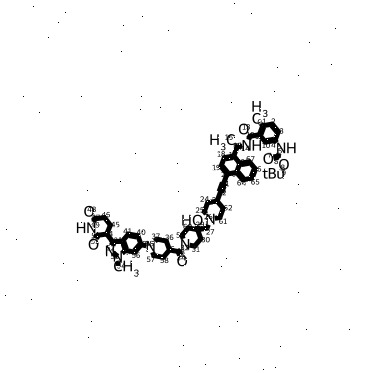 Cc1ccc(NC(=O)OC(C)(C)C)cc1C(=O)N[C@H](C)c1ccc(C#CC2CCN(CC3(O)CCN(C(=O)C4CCN(c5ccc6c(C7CCC(=O)NC7=O)nn(C)c6c5)CC4)CC3)CC2)c2ccccc12